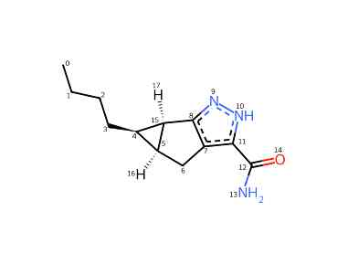 CCCC[C@@H]1[C@@H]2Cc3c(n[nH]c3C(N)=O)[C@H]12